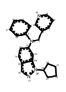 c1ccc(N(Cc2cccnc2)c2ccc3cnn(C4CCCC4)c3c2)cc1